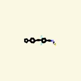 Fc1cc(C#CN=C=S)cc(F)c1C#Cc1ccc(C2CCCC2)cc1